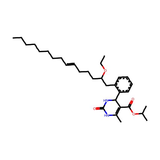 CCCCCCCCC=CCCCC(Cc1ccccc1C1NC(=O)NC(C)=C1C(=O)OC(C)C)OCC